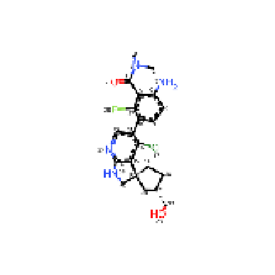 CN(C)C(=O)c1c(N)ccc(-c2cnc3c(c2Cl)[C@@]2(CC[C@H](CO)C2)CN3)c1F